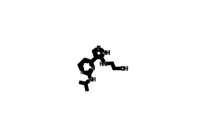 CC(C)Nc1nccc(-c2cn[nH]c2NCCO)n1